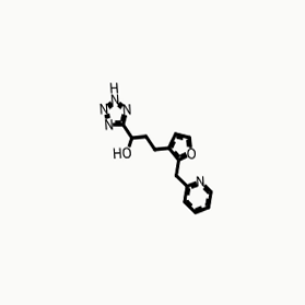 OC(CCc1ccoc1Cc1ccccn1)c1nn[nH]n1